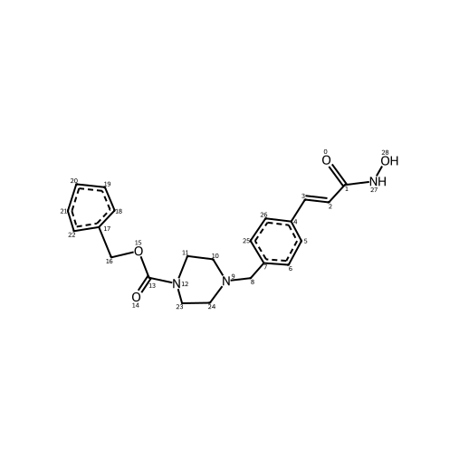 O=C(/C=C/c1ccc(CN2CCN(C(=O)OCc3ccccc3)CC2)cc1)NO